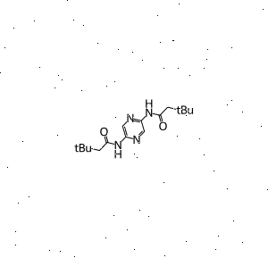 CC(C)(C)CC(=O)Nc1cnc(NC(=O)CC(C)(C)C)cn1